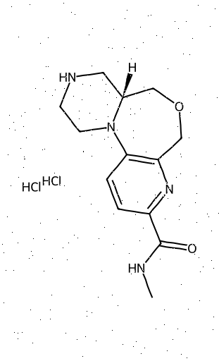 CNC(=O)c1ccc2c(n1)COC[C@H]1CNCCN21.Cl.Cl